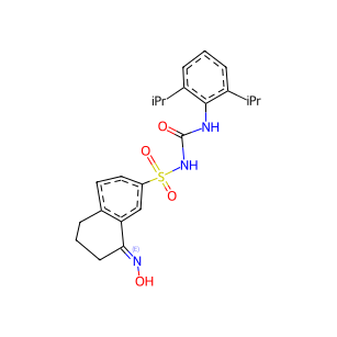 CC(C)c1cccc(C(C)C)c1NC(=O)NS(=O)(=O)c1ccc2c(c1)/C(=N/O)CCC2